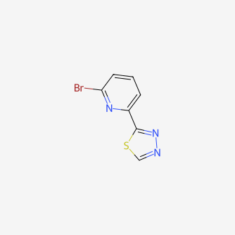 Brc1cccc(-c2nncs2)n1